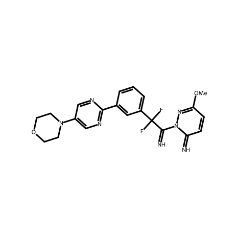 COc1ccc(=N)n(C(=N)C(F)(F)c2cccc(-c3ncc(N4CCOCC4)cn3)c2)n1